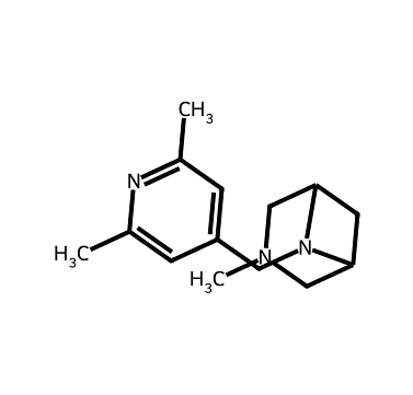 Cc1cc(CN2C3CC2CN(C)C3)cc(C)n1